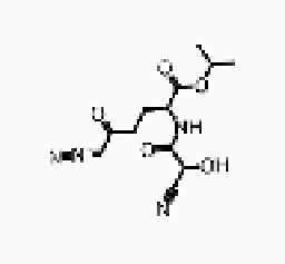 CC(C)OC(=O)[C@H](CCC(=O)C=[N+]=[N-])NC(=O)[C@@H](O)C#N